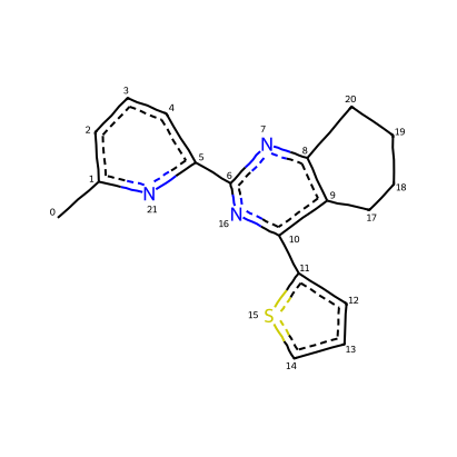 Cc1cccc(-c2nc3c(c(-c4cccs4)n2)CCCC3)n1